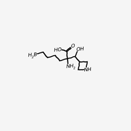 BCCCCC(N)(C(=O)O)C(O)C1CNC1